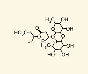 CCC(CC(=O)O)OC(=O)CC(CC)OC1OC(C)C(O)C(O)C1OC1OC(C)C(O)C(O)C1O